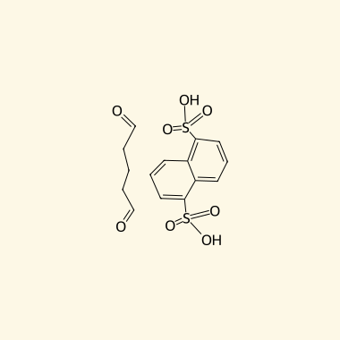 O=CCCCC=O.O=S(=O)(O)c1cccc2c(S(=O)(=O)O)cccc12